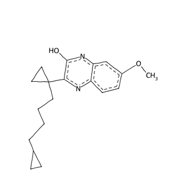 COc1ccc2nc(C3(CCCCC4CC4)CC3)c(O)nc2c1